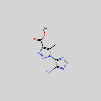 Cc1c(C(=O)OC(C)(C)C)nnn1-c1nonc1N